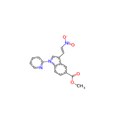 COC(=O)c1ccc2c(c1)c(C=C[N+](=O)[O-])cn2-c1ccccn1